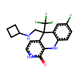 O=c1[nH]ccc2c1Nc1ccc(F)cc1C2(CNC1CCC1)C(F)(F)F